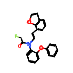 O=C(CF)N(CCc1cccc2c1OCC2)c1ccccc1Oc1ccccc1